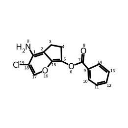 NC1=C2CCC(OC(=O)c3ccccc3)=C2OC=C1Cl